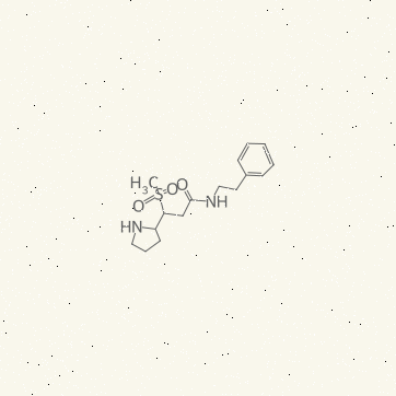 CS(=O)(=O)C(CC(=O)NCCc1ccccc1)C1CCCN1